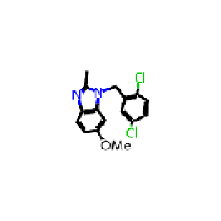 COc1ccc2nc(C)n(Cc3cc(Cl)ccc3Cl)c2c1